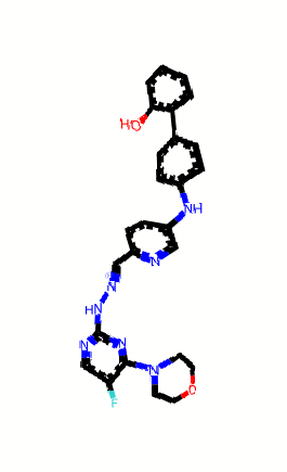 Oc1ccccc1-c1ccc(Nc2ccc(/C=N/Nc3ncc(F)c(N4CCOCC4)n3)nc2)cc1